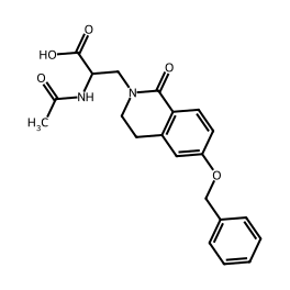 CC(=O)NC(CN1CCc2cc(OCc3ccccc3)ccc2C1=O)C(=O)O